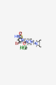 C=CCN(CC=C)CCN1CCN(C(=O)CN2CC(Br)=Cc3[nH]c(=O)sc32)CC1.Cl.Cl